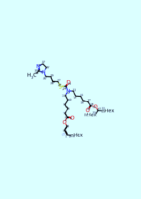 CCCCCC/C=C\COC(=O)CCCCCN(CCCCCC(=O)OC(CCCCCC)CCCCCC)C(=O)SCCCCN1CCN=C1C